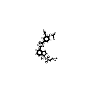 COCCS(=O)(=O)N[C@H]1CCc2c(-c3noc(-c4ccc(OC(C)C)c(C#N)c4)n3)cccc21